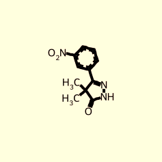 CC1(C)C(=O)NN=C1c1cccc([N+](=O)[O-])c1